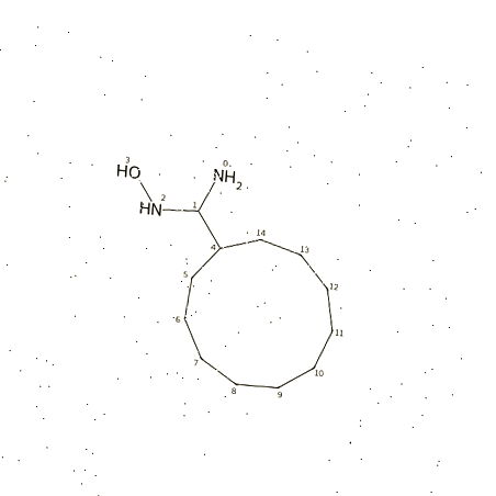 NC(NO)C1CCCCCCCCCC1